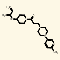 C=CC(=C)NC1CCN(C(=O)CCN2CCN(c3ccc(C)nc3)CC2)CC1